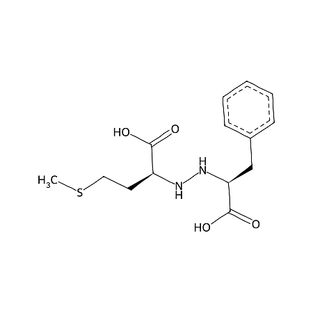 CSCC[C@H](NN[C@@H](Cc1ccccc1)C(=O)O)C(=O)O